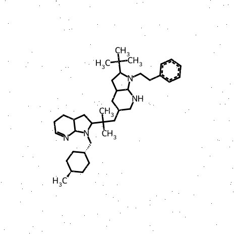 CC(C)(C)C1CC2CC(CC(C)(C)C3CC4CCC=NC4N3C[C@H]3CC[C@H](C)CC3)CNC2N1CCc1ccccc1